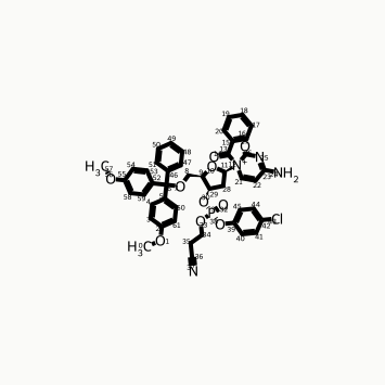 COc1ccc(C(OC[C@H]2O[C@@H]([N+]3(C(=O)c4ccccc4)C=CC(N)=NC3=O)C[C@@H]2OP(=O)(OCCC#N)Oc2ccc(Cl)cc2)(c2ccccc2)c2ccc(OC)cc2)cc1